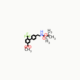 COC(=O)c1ccc(C(F)(F)F)c(-c2ccc(CCNC(=O)OC(C)(C)C)cc2)c1